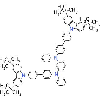 CC(C)(C)c1ccc2c(c1)c1cc(C(C)(C)C)ccc1n2-c1ccc(-c2ccc(N(c3ccccc3)c3cccc(N(c4ccccc4)c4ccc(-c5ccc(-n6c7ccc(C(C)(C)C)cc7c7cc(C(C)(C)C)ccc76)cc5)cc4)c3)cc2)cc1